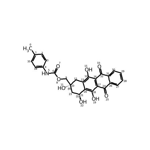 Cc1ccc(NC(=O)OC[C@@]2(O)Cc3c(O)c4c(c(O)c3[C@@H](O)C2)C(=O)c2ccccc2C4=O)cc1